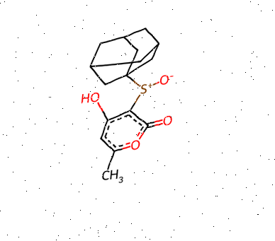 Cc1cc(O)c([S+]([O-])C23CC4CC(CC(C4)C2)C3)c(=O)o1